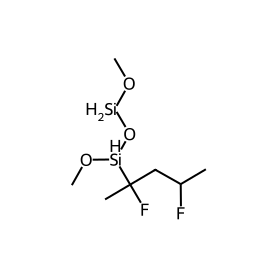 CO[SiH2]O[SiH](OC)C(C)(F)CC(C)F